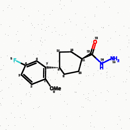 COc1ccc(F)cc1[C@H]1CC[C@H](C(=O)NN)CC1